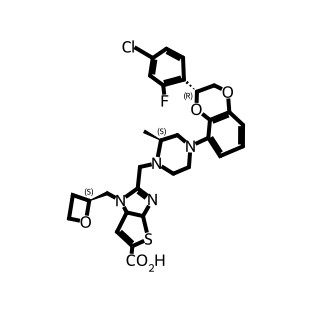 C[C@H]1CN(c2cccc3c2O[C@H](c2ccc(Cl)cc2F)CO3)CCN1CC1=NC2SC(C(=O)O)=CC2N1C[C@@H]1CCO1